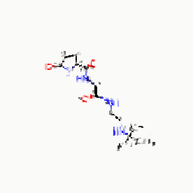 CC(C)C(C)(C)NCCNC(=O)CNC(=O)C1CCC(=O)N1